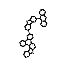 c1ccc2c(-c3ccc4oc5ccc(-c6ccc7c(c6)c6ccccc6c6c7ccc7sc8ccccc8c76)cc5c4c3)c3ccccc3cc2c1